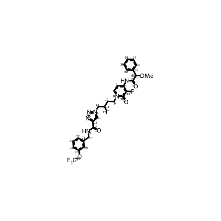 CO[C@@H](C(=O)Nc1ccn(CCC(F)Cn2cc(C(=O)NCc3cccc(OC(F)(F)F)c3)nn2)c(=O)c1F)c1ccccc1